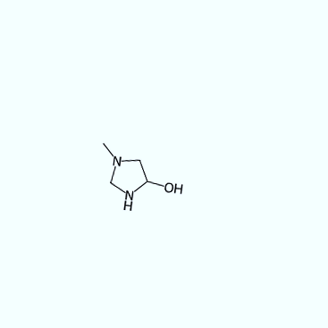 CN1CNC(O)C1